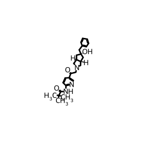 CC(C)(C)C(=O)Nc1ccc(C(=O)CN2C[C@@H]3C[C@@](O)(Cc4ccccc4)C[C@@H]3C2)cn1